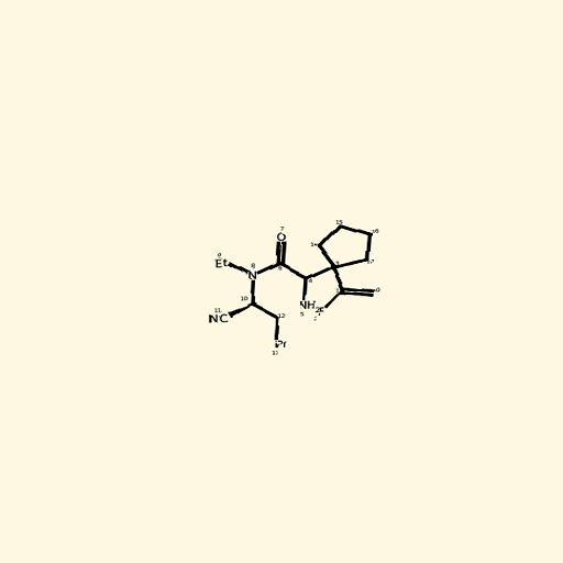 C=C(F)C1(C(N)C(=O)N(CC)[C@H](C#N)CC(C)C)CCCC1